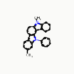 Cc1ccc2c3ccc4c(c5ccccc5n4C)c3n(-c3ccccc3)c2c1